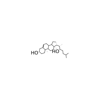 CC(C)CC[C@H](O)[C@@H](C)[C@H]1CCC2C3CC=C4C[C@@H](O)CC[C@]4(C)C3CC[C@@]21C